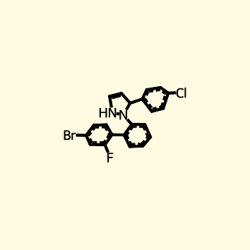 Fc1cc(Br)ccc1-c1ccccc1N1NC=CC1c1ccc(Cl)cc1